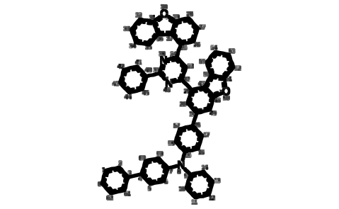 c1ccc(-c2ccc(N(c3ccccc3)c3ccc(-c4cc(-c5cc(-c6cccc7oc8ccccc8c67)nc(-c6ccccc6)n5)c5c(c4)oc4ccccc45)cc3)cc2)cc1